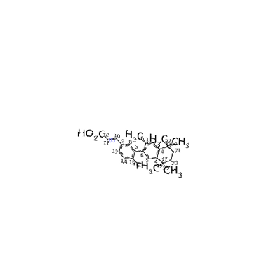 Cc1cc2c(cc1-c1cc(/C=C/C(=O)O)ccc1F)C(C)(C)CCC2(C)C